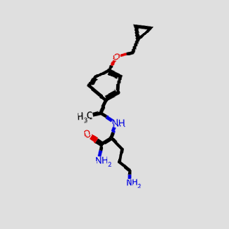 CC(NC(CCCN)C(N)=O)c1ccc(OCC2CC2)cc1